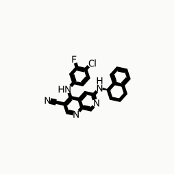 N#Cc1cnc2cnc(N[C@@H]3CCCc4ccccc43)cc2c1Nc1ccc(Cl)c(F)c1